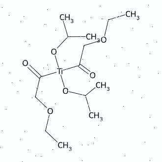 CCOC[C](=O)[Ti]([O]C(C)C)([O]C(C)C)[C](=O)COCC